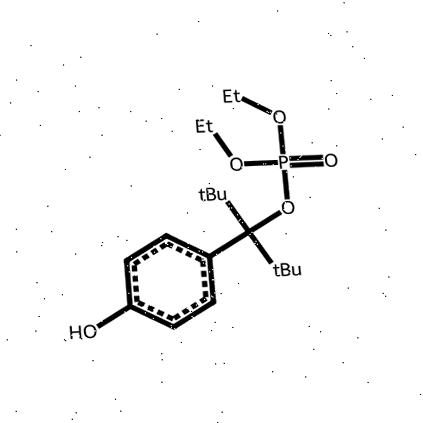 CCOP(=O)(OCC)OC(c1ccc(O)cc1)(C(C)(C)C)C(C)(C)C